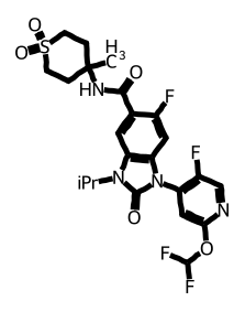 CC(C)n1c(=O)n(-c2cc(OC(F)F)ncc2F)c2cc(F)c(C(=O)NC3(C)CCS(=O)(=O)CC3)cc21